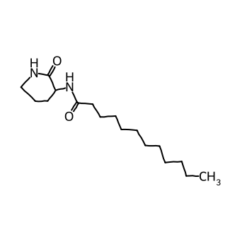 CCCCCCCCCCCC(=O)NC1CCCNC1=O